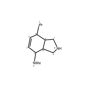 CNC1C=CC(C(C)C)C2CNCC12